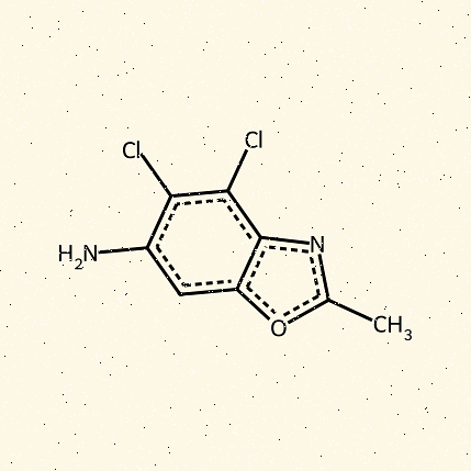 Cc1nc2c(Cl)c(Cl)c(N)cc2o1